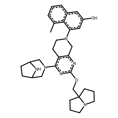 Cc1cccc2cc(O)cc(N3CCc4c(nc(OCC56CCCN5CCC6)nc4N4CC5CCC(C4)N5)C3)c12